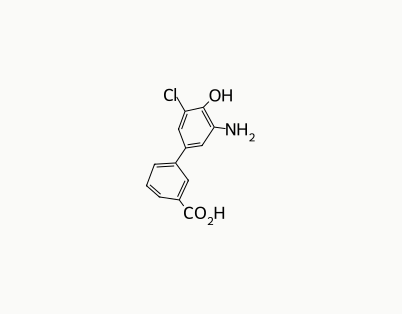 Nc1cc(-c2cccc(C(=O)O)c2)cc(Cl)c1O